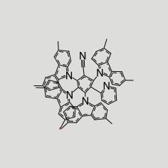 Cc1ccc2c(c1)c1cc(C)ccc1n2-c1c(C#N)c(-n2c3ccc(C)cc3c3cc(C)ccc32)c(-n2c3ccc(C)cc3c3cc(C)ccc32)c(-n2c3ccc(C)cc3c3cc(C)ccc32)c1-c1ccccn1